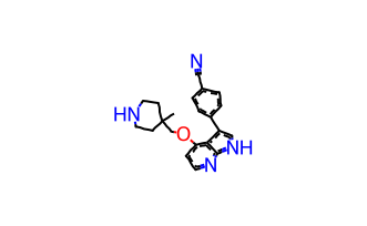 CC1(COc2ccnc3[nH]cc(-c4ccc(C#N)cc4)c23)CCNCC1